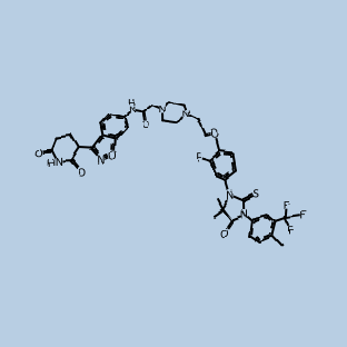 Cc1ccc(N2C(=O)C(C)(C)N(c3ccc(OCCN4CCN(CC(=O)Nc5ccc6c(C7CCC(=O)NC7=O)noc6c5)CC4)c(F)c3)C2=S)cc1C(F)(F)F